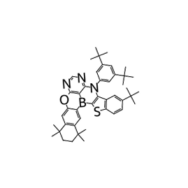 CC(C)(C)c1cc(N2c3ncnc4c3B(c3cc5c(cc3O4)C(C)(C)CCC5(C)C)c3sc4ccc(C(C)(C)C)cc4c32)cc(C(C)(C)C)c1